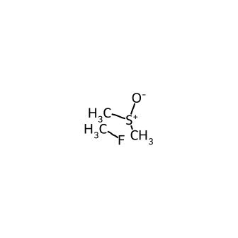 CF.C[S+](C)[O-]